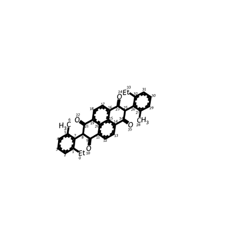 CCc1cccc(C)c1C1C(=O)c2ccc3c4c(ccc(c24)C1=O)C(=O)C(c1c(C)cccc1CC)C3=O